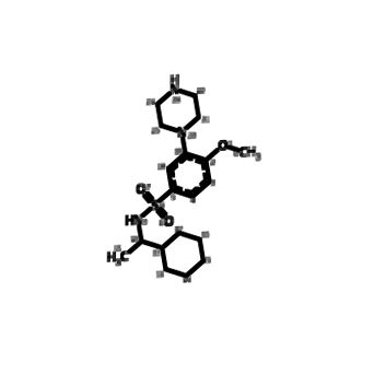 COc1ccc(S(=O)(=O)NC(C)C2CCCCC2)cc1N1CCNCC1